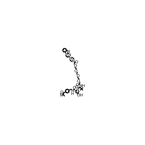 Cc1ncoc1-c1ccc(CNC(=O)[C@@H]2C[C@@H](O)CN2C(=O)[C@@H](NC(=O)COCCOCCOCCOCC(=O)N2CCN(c3ccn4c(n3)nc3ccccc34)CC2)C(C)(C)C)cc1